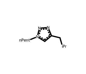 CCCCCn1cc(CC(C)C)nn1